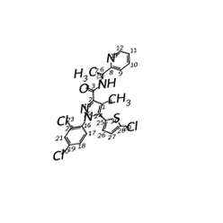 Cc1c(C(=O)N[C@@H](C)c2ccccn2)nn(-c2ccc(Cl)cc2Cl)c1-c1ccc(Cl)s1